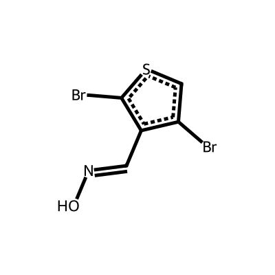 ON=Cc1c(Br)csc1Br